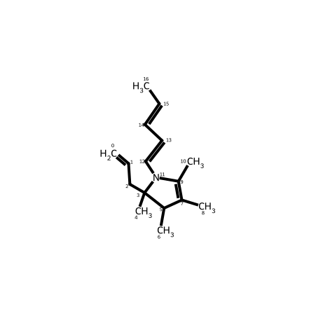 C=CCC1(C)C(C)C(C)=C(C)N1C=CC=CC